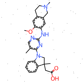 COc1cc2c(cc1Nc1ncc(C)c(N3CC(C)(CC(=O)O)c4ccccc43)n1)CN(C)CC2